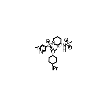 CC(C)[C@H]1CC[C@@H](OC[C@H]2[C@@H](NS(C)(=O)=O)CCCN2S(=O)(=O)c2cnn(C)c2)CC1